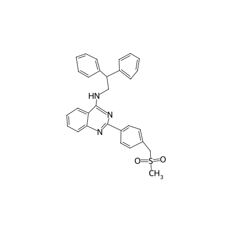 CS(=O)(=O)Cc1ccc(-c2nc(NCC(c3ccccc3)c3ccccc3)c3ccccc3n2)cc1